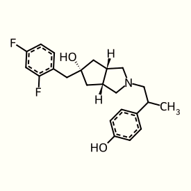 CC(CN1C[C@@H]2C[C@@](O)(Cc3ccc(F)cc3F)C[C@@H]2C1)c1ccc(O)cc1